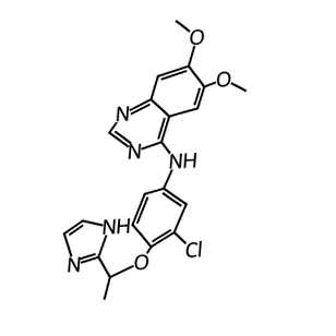 COc1cc2ncnc(Nc3ccc(OC(C)c4ncc[nH]4)c(Cl)c3)c2cc1OC